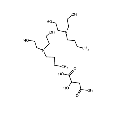 CCCCN(CCO)CCO.CCCCN(CCO)CCO.O=C(O)CC(O)C(=O)O